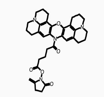 C=C1CCC(=O)N1OC(=O)CCCC(=O)N1c2cc3c4c(c2Oc2c1cc1c5c2CCCN5CCC1)CCCN4CCC3